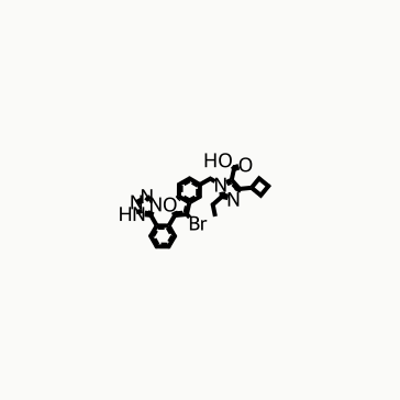 CCc1nc(C2CCC2)c(C(=O)O)n1Cc1ccc2oc(-c3ccccc3-c3nnn[nH]3)c(Br)c2c1